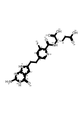 Nc1nc2[nH]c(CCc3cnc(C(=O)N[C@@H](CCC(=O)O)C(=O)O)c(F)c3)cc2c(=O)[nH]1